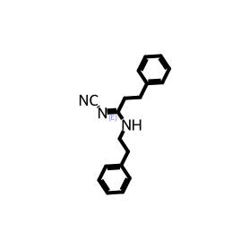 N#C/N=C(\CCc1ccccc1)NCCc1ccccc1